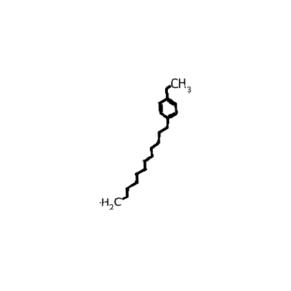 [CH2]CCCCCCCCCCCc1ccc(CC)cc1